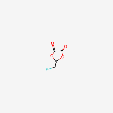 O=C1OB(CF)OC1=O